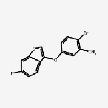 Cc1cc(Oc2[c]sc3cc(F)ccc23)ccc1Br